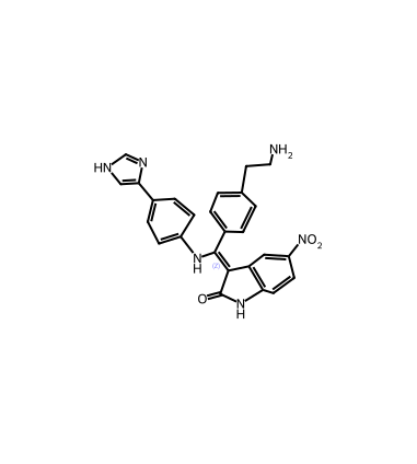 NCCc1ccc(/C(Nc2ccc(-c3c[nH]cn3)cc2)=C2/C(=O)Nc3ccc([N+](=O)[O-])cc32)cc1